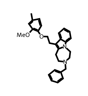 COc1cc(C)ccc1OCCc1c2n(c3ccccc13)CCN(Cc1ccccc1)CC2